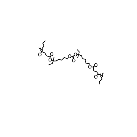 CCCN(C)C(=O)CCC(=O)OCCCCCC(C)(CC)OC(=O)OCCCCCC(C)(CC)OC(=O)CCC(=O)N(C)CCC